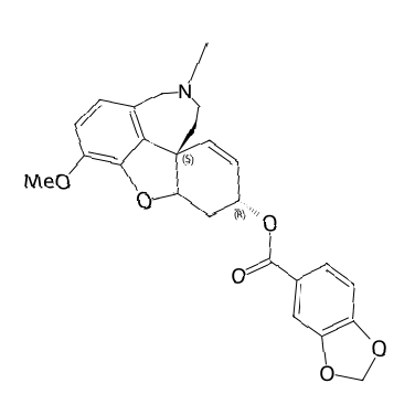 COc1ccc2c3c1OC1C[C@@H](OC(=O)c4ccc5c(c4)OCO5)C=C[C@@]31CCN(C)C2